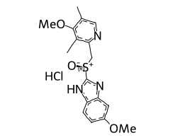 COc1ccc2[nH]c([S@@+]([O-])Cc3ncc(C)c(OC)c3C)nc2c1.Cl